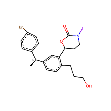 C[C@@H](c1ccc(Br)cc1)c1ccc(CCCO)c(C2CCN(I)C(=O)O2)c1